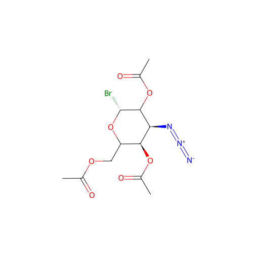 CC(=O)OCC1O[C@H](Br)C(OC(C)=O)[C@@H](N=[N+]=[N-])[C@H]1OC(C)=O